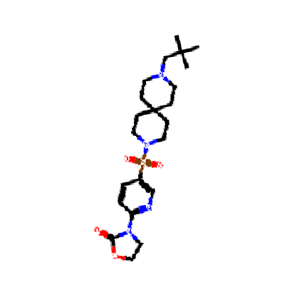 CC(C)(C)CN1CCC2(CC1)CCN(S(=O)(=O)c1ccc(N3CCOC3=O)nc1)CC2